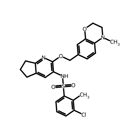 Cc1c(Cl)cccc1S(=O)(=O)Nc1cc2c(nc1OCc1ccc3c(c1)OCCN3C)CCC2